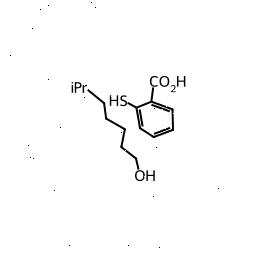 CC(C)CCCCCO.O=C(O)c1ccccc1S